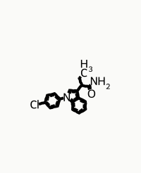 CCC(C(N)=O)c1cn(-c2ccc(Cl)cc2)c2ccccc12